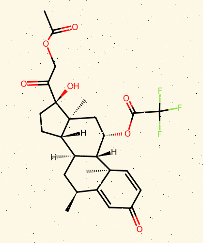 CC(=O)OCC(=O)[C@@]1(O)CC[C@H]2[C@@H]3C[C@H](C)C4=CC(=O)C=C[C@]4(C)[C@H]3[C@@H](OC(=O)C(F)(F)F)C[C@@]21C